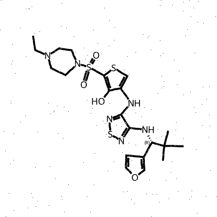 CCN1CCN(S(=O)(=O)c2scc(Nc3nsnc3N[C@@H](c3ccoc3)C(C)(C)C)c2O)CC1